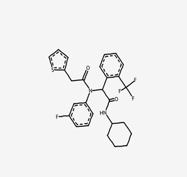 O=C(NC1CCCCC1)C(c1ccccc1C(F)(F)F)N(C(=O)Cc1cccs1)c1cccc(F)c1